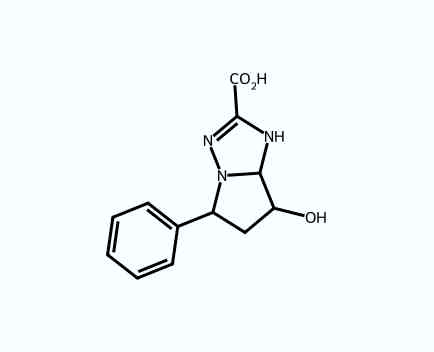 O=C(O)C1=NN2C(c3ccccc3)CC(O)C2N1